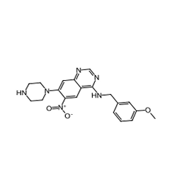 COc1cccc(CNc2ncnc3cc(N4CCNCC4)c([N+](=O)[O-])cc23)c1